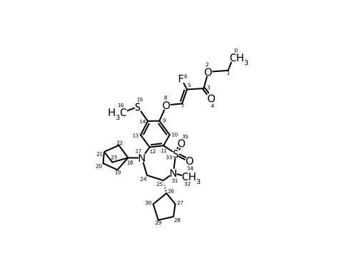 CCOC(=O)/C(F)=C/Oc1cc2c(cc1SC)N(C13CCC(C1)C3)C[C@@H](C1CCCC1)N(C)S2(=O)=O